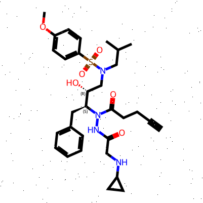 C#CCCC(=O)N(NC(=O)CNC1CC1)[C@@H](Cc1ccccc1)[C@H](O)CN(CC(C)C)S(=O)(=O)c1ccc(OC)cc1